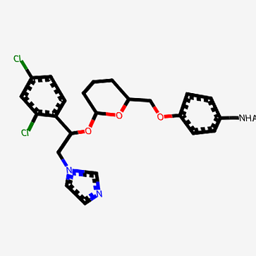 CC(=O)Nc1ccc(OCC2CCCC(OC(Cn3ccnc3)c3ccc(Cl)cc3Cl)O2)cc1